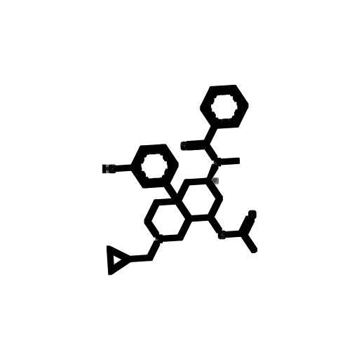 CC(=O)OC1C[C@H](N(C)C(=O)c2ccccc2)CC2(c3cccc(O)c3)CCN(CC3CC3)CC12